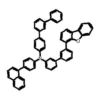 c1ccc(-c2cccc(-c3ccc(N(c4ccc(-c5cccc6ccccc56)cc4)c4cccc(-c5cccc(-c6cccc7c6oc6ccccc67)c5)c4)cc3)c2)cc1